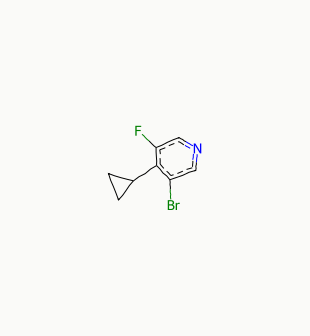 Fc1cncc(Br)c1C1CC1